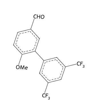 COc1ccc(C=O)cc1-c1cc(C(F)(F)F)cc(C(F)(F)F)c1